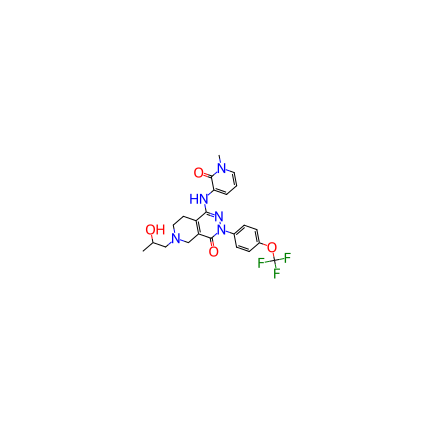 CC(O)CN1CCc2c(Nc3cccn(C)c3=O)nn(-c3ccc(OC(F)(F)F)cc3)c(=O)c2C1